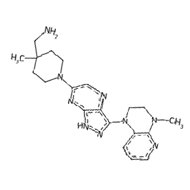 CN1CCN(c2n[nH]c3nc(N4CCC(C)(CN)CC4)cnc23)c2cccnc21